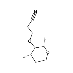 C[C@@H]1OCC[C@H](C)C1OCCC#N